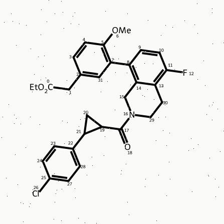 CCOC(=O)Cc1ccc(OC)c(-c2ccc(F)c3c2CN(C(=O)C2CC2c2ccc(Cl)cc2)CC3)c1